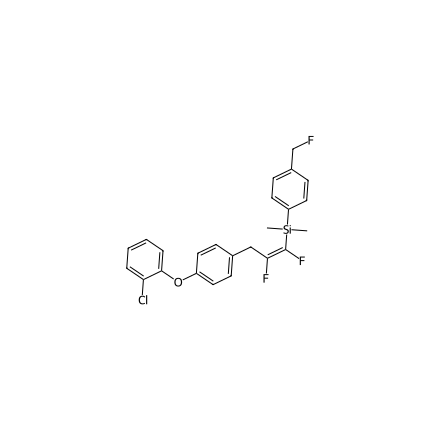 C[Si](C)(/C(F)=C(/F)Cc1ccc(Oc2ccccc2Cl)cc1)c1ccc(CF)cc1